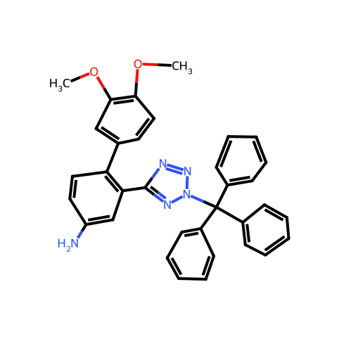 COc1ccc(-c2ccc(N)cc2-c2nnn(C(c3ccccc3)(c3ccccc3)c3ccccc3)n2)cc1OC